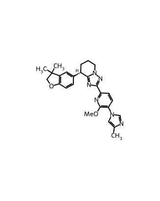 COc1nc(-c2nc3n(n2)CCC[C@@H]3c2ccc3c(c2)C(C)(C)CO3)ccc1-n1cnc(C)c1